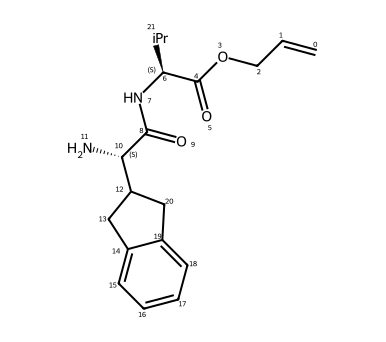 C=CCOC(=O)[C@@H](NC(=O)[C@@H](N)C1Cc2ccccc2C1)C(C)C